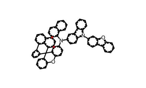 c1ccc2c(c1)Oc1ccc(N(c3ccc4c(c3)c3ccccc3n4-c3ccc4c(c3)oc3ccccc34)c3cccc4ccccc34)cc1C21c2ccccc2-c2cccc3cccc1c23